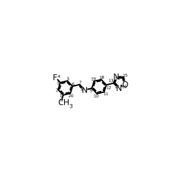 Cc1cc(F)cc(C=Nc2ccc(-c3ncon3)cc2)c1